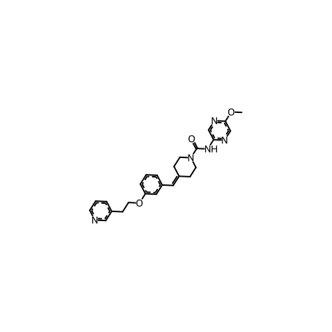 COc1cnc(NC(=O)N2CCC(=Cc3cccc(OCCc4cccnc4)c3)CC2)cn1